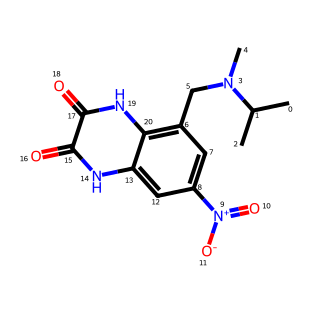 C[C](C)N(C)Cc1cc([N+](=O)[O-])cc2[nH]c(=O)c(=O)[nH]c12